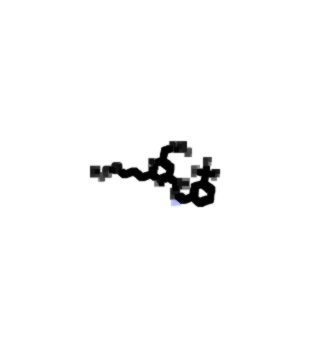 COCCCc1nc(CN)cc(N/N=C\c2cccc(C(F)(F)F)c2)n1